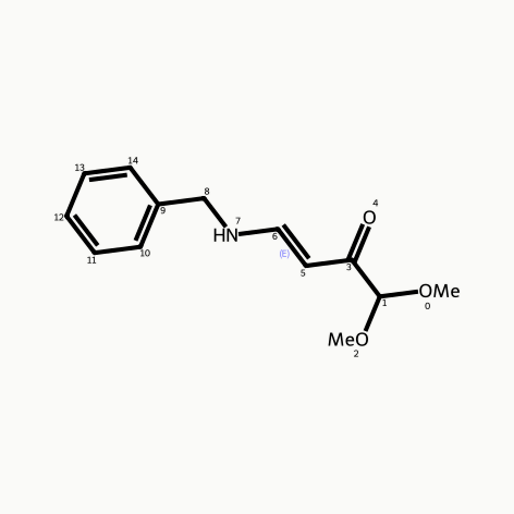 COC(OC)C(=O)/C=C/NCc1ccccc1